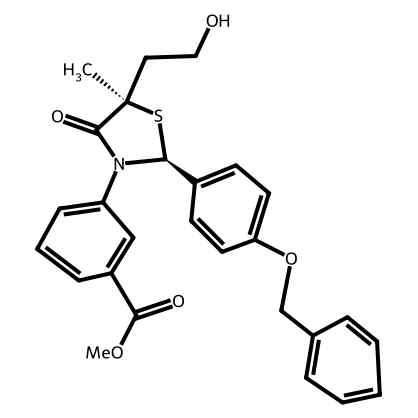 COC(=O)c1cccc(N2C(=O)[C@@](C)(CCO)S[C@H]2c2ccc(OCc3ccccc3)cc2)c1